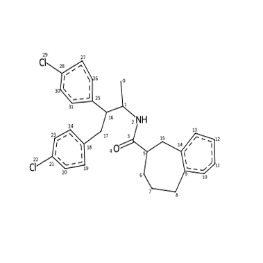 CC(NC(=O)C1CCCc2ccccc2C1)C(Cc1ccc(Cl)cc1)c1ccc(Cl)cc1